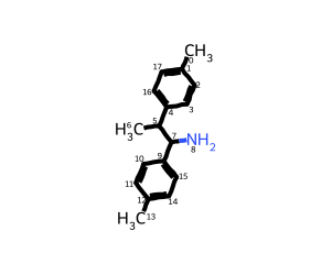 Cc1ccc(C(C)C(N)c2ccc(C)cc2)cc1